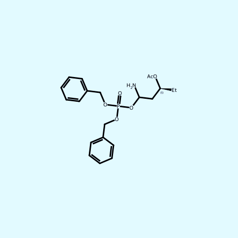 CC[C@@H](CC(N)OP(=O)(OCc1ccccc1)OCc1ccccc1)OC(C)=O